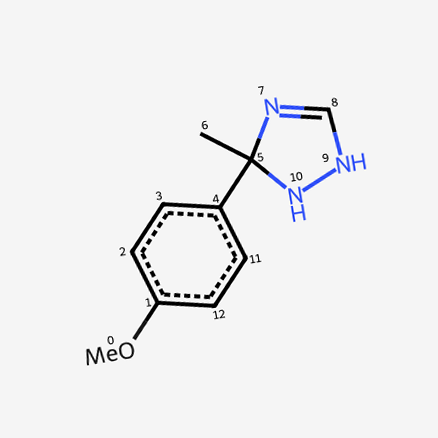 COc1ccc(C2(C)N=CNN2)cc1